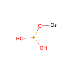 OP(O)[O][Os]